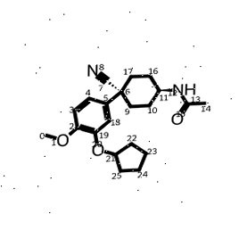 COc1ccc([C@]2(C#N)CC[C@H](NC(C)=O)CC2)cc1OC1CCCC1